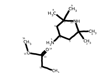 CC1(C)CC(N)CC(C)(C)N1.CCC(=O)OC